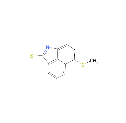 CSc1ccc2c3c(cccc13)C(S)=N2